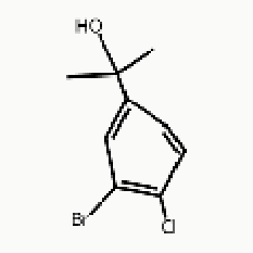 CC(C)(O)c1ccc(Cl)c(Br)c1